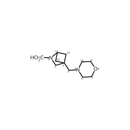 O=C(O)N1CC2(CN3CCOCC3)CC1C2